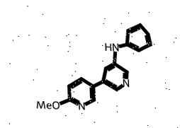 COc1ccc(-c2cncc(Nc3ccccc3)c2)cn1